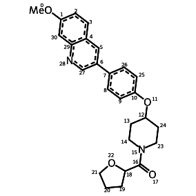 COc1ccc2cc(-c3ccc(OC4CCN(C(=O)C5CCCO5)CC4)cc3)cnc2c1